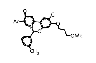 COCCCOc1cc2c(cc1Cl)-c1cc(=O)c(C(C)=O)cn1C(c1cccc(C)c1)O2